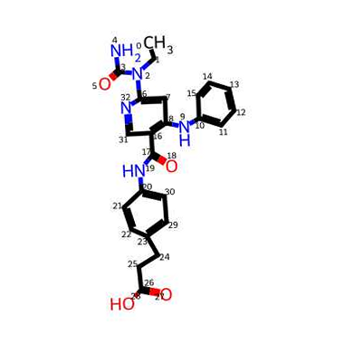 CCN(C(N)=O)c1cc(Nc2ccccc2)c(C(=O)Nc2ccc(CCC(=O)O)cc2)cn1